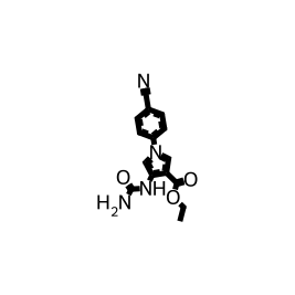 CCOC(=O)c1cn(-c2ccc(C#N)cc2)cc1NC(N)=O